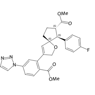 COC(=O)c1ccc(-n2ccnn2)cc1C1=C[C@@]2(CC[C@H](C(=O)OC)[C@H]2c2ccc(F)cc2)OC1